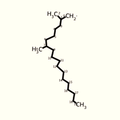 [CH2]C(C)CCCCC(C)CCCCCCCCCCC